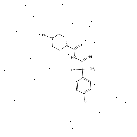 CC(C)N1CCN(C(=O)NC(=N)C(C)(c2ccc(Br)cc2)C(C)C)CC1